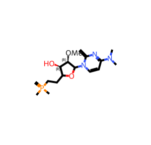 C=C1N=C(N(C)C)C=CN1C1OC(CCP(=C)(C)C)[C@@H](O)[C@H]1OC